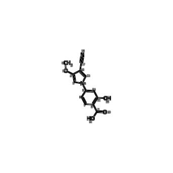 COc1cn(-c2ccc(C(=O)O)c(O)c2)cc1C#N